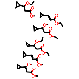 CCOC(=O)C=CC1CC1.CCOC(=O)CC(OC)C1CC1.CCOC(=O)CC(OCC)C1CC1.CCOC(CC(=O)OC)C1CC1.COC(=O)C=CC1CC1.COC(=O)CC(OC)C1CC1